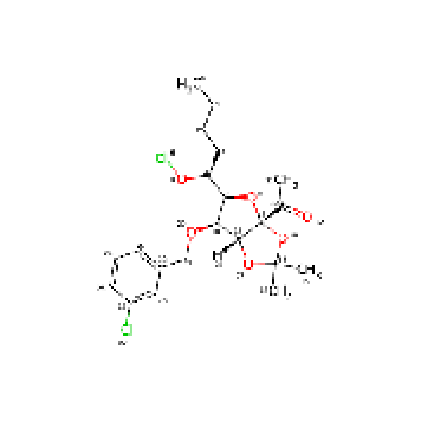 CCCC[C@H](OCl)[C@H]1O[C@]2(C(C)=O)OC(C)(C)O[C@@H]2[C@H]1OCc1cccc(Cl)c1